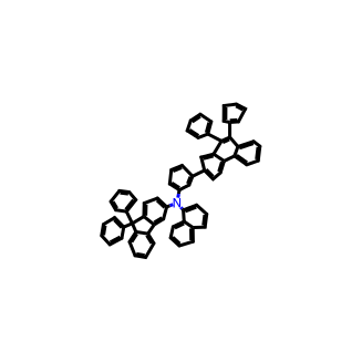 c1ccc(-c2c(-c3ccccc3)c3cc(-c4cccc(N(c5ccc6c(c5)-c5ccccc5C6(c5ccccc5)c5ccccc5)c5cccc6ccccc56)c4)ccc3c3ccccc23)cc1